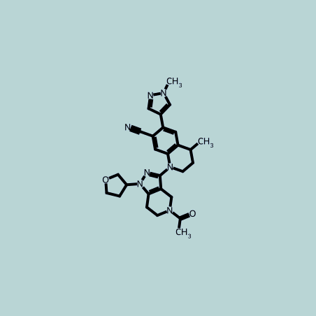 CC(=O)N1CCc2c(c(N3CCC(C)c4cc(-c5cnn(C)c5)c(C#N)cc43)nn2C2CCOC2)C1